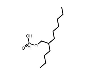 CCCCCCC(CCCC)CO[PH](=O)O